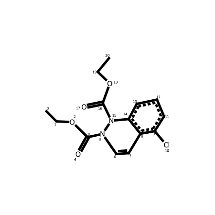 CCOC(=O)N1C=Cc2c(Cl)cccc2N1C(=O)OCC